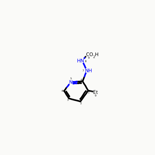 CCc1cccnc1NNC(=O)O